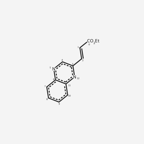 CCOC(=O)/C=C/c1cnc2ccccc2n1